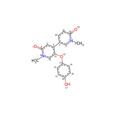 Cn1cc(-c2cc(=O)n(C)cc2Oc2ccc(O)cc2)ccc1=O